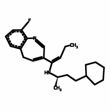 CC/C=C(/N[C@@H](C)CCC1CCCCC1)C1=CCc2cccc(F)c2N=C1